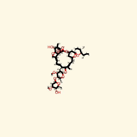 CC[C@H](C)[C@H]1O[C@]2(CC[C@@H]1C)C[C@@H]1C[C@@H](C/C=C(\C)C(O[C@H]3C[C@H](OC)[C@@H](OC4C[C@H](OC)[C@@H](O)[C@H](C)O4)[C@H](C)O3)[C@@H](C)/C=C/C=C3\CO[C@@H]4[C@H](O)C(C)=C[C@@H](C(=O)O1)[C@]34O)O2